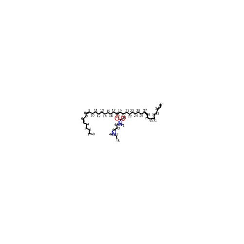 CCCCC/C=C\C/C=C\CCCCCCCCC(CCCCCCCC/C=C\C/C=C\CCCCC)OC(=O)N(C)CCCN(C)CC